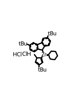 CC1C=C(C(C)(C)C)C=[C]1[Zr](=[C]1CCCCC1)[CH]1c2ccc(C(C)(C)C)cc2-c2cc(C(C)(C)C)ccc21.Cl.Cl